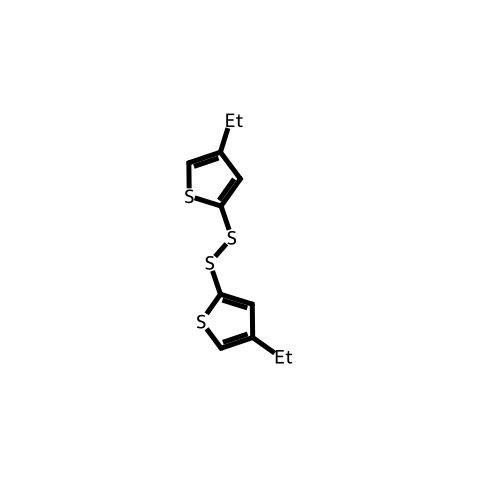 CCc1csc(SSc2cc(CC)cs2)c1